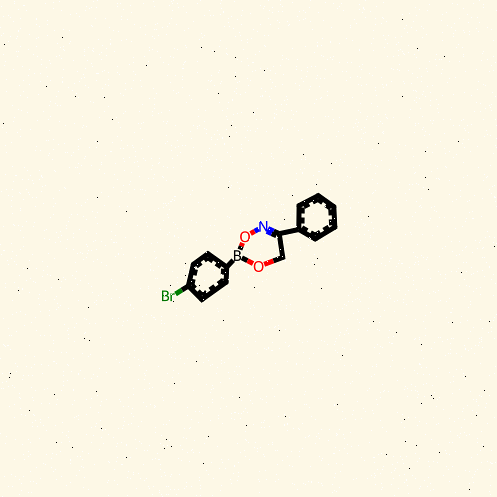 Brc1ccc(B2OCC(c3ccccc3)=NO2)cc1